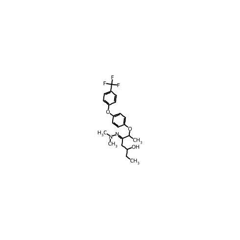 CCC(O)CC(=NN(C)C)C(C)Oc1ccc(Oc2ccc(C(F)(F)F)cc2)cc1